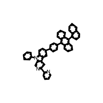 c1ccc(-n2c3ccc(-c4ccc(-c5c6ccccc6c(-c6cccc7ccccc67)c6ccccc56)cc4)cc3c3cc(-c4ccccn4)ncc32)cc1